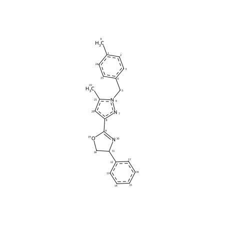 Cc1ccc(Cn2nc(C3=NC(c4ccccc4)CO3)cc2C)cc1